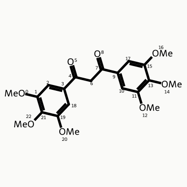 COc1cc(C(=O)CC(=O)c2cc(OC)c(OC)c(OC)c2)cc(OC)c1OC